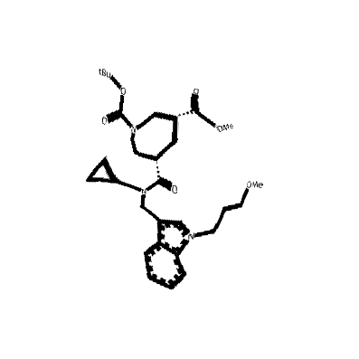 COCCCn1cc(CN(C(=O)[C@H]2C[C@@H](C(=O)OC)CN(C(=O)OC(C)(C)C)C2)C2CC2)c2ccccc21